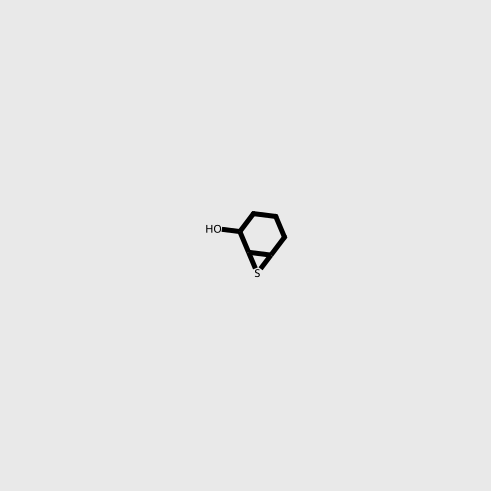 OC1CCCC2SC12